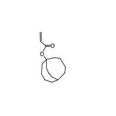 C=CC(=O)OC12CCCCC(CCCC1)CCC2